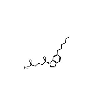 CCCCCCc1ccc2ccn(C(=O)CCCC(=O)O)c2c1